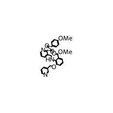 COC(=O)c1cccc(OCc2cccnc2)c1NCc1cccnc1S(=O)(=O)c1ccc(OC)cc1